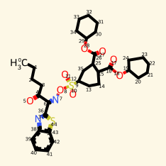 CCCCC(=O)/C(=N\OS(=O)(=O)C1CCC(C(=O)OC2CCCCC2)C(C(=O)OC2CCCCC2)C1)c1nc2ccccc2s1